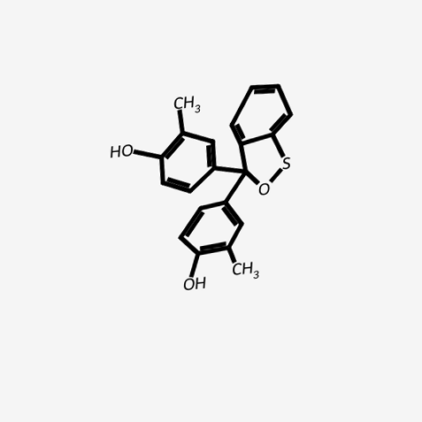 Cc1cc(C2(c3ccc(O)c(C)c3)OSc3ccccc32)ccc1O